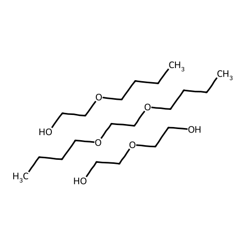 CCCCOCCO.CCCCOCCOCCCC.OCCOCCO